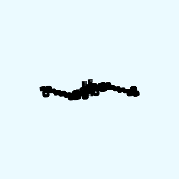 C=CC(=O)OCCCCCCCCOc1ccc(C(=O)Oc2c(F)c(F)c(OC(=O)c3ccc(OCCCCCCCCOC(=O)C=C)cc3)c(F)c2F)cc1